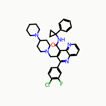 O=C(NC1(c2ccccc2)CC1)c1c(CN2CCC(N3CCCCC3)CC2)c(-c2ccc(Cl)c(F)c2)nc2cccnc12